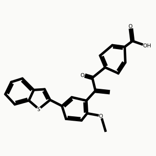 C=C(C(=O)c1ccc(C(=O)O)cc1)c1cc(-c2cc3ccccc3s2)ccc1OC